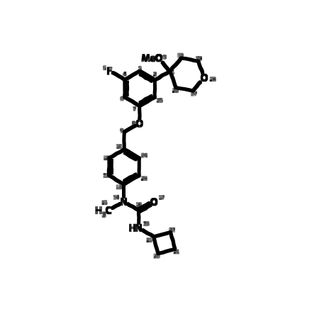 COC1(c2cc(F)cc(OCc3ccc(N(C)C(=O)NC4CCC4)cc3)c2)CCOCC1